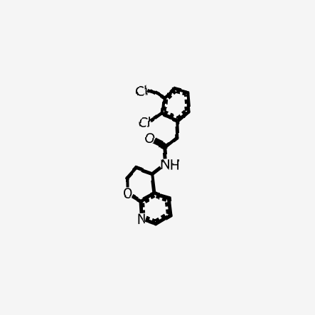 O=C(Cc1cccc(Cl)c1Cl)NC1CCOc2ncccc21